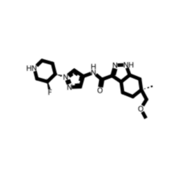 COC[C@@]1(C)CCC2C(C(=O)Nc3cnn([C@H]4CCNC[C@@H]4F)c3)=NNC2C1